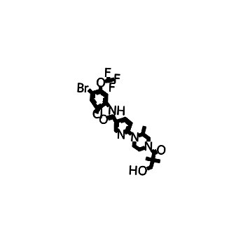 CC1CN(C(=O)C(C)(C)CO)CCN1c1ccc(C(=O)Nc2cc(OC(F)(F)F)c(Br)cc2Cl)cn1